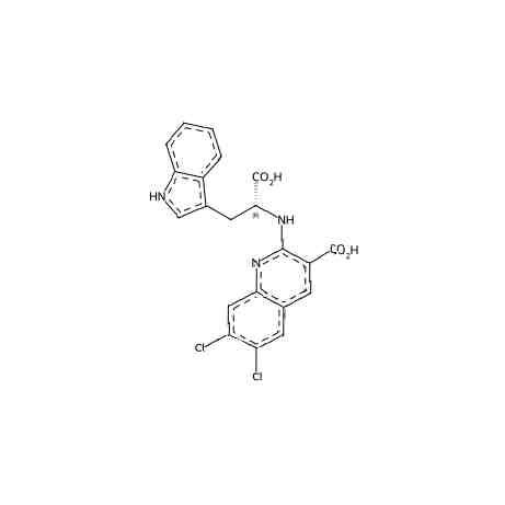 O=C(O)c1cc2cc(Cl)c(Cl)cc2nc1N[C@H](Cc1c[nH]c2ccccc12)C(=O)O